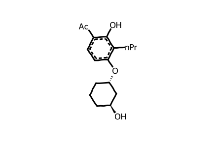 CCCc1c(O[C@H]2CCC[C@H](O)C2)ccc(C(C)=O)c1O